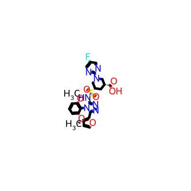 COc1cccc(OC)c1-n1c(NS(=O)(=O)[C@H]2C[C@@H](C(=O)O)CN(c3ncc(F)cn3)C2)nnc1-c1ccco1